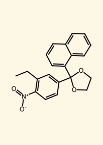 CCc1cc(C2(c3cccc4ccccc34)OCCO2)ccc1[N+](=O)[O-]